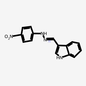 O=[N+]([O-])c1ccc(N/N=C/c2c[nH]c3ccccc23)cc1